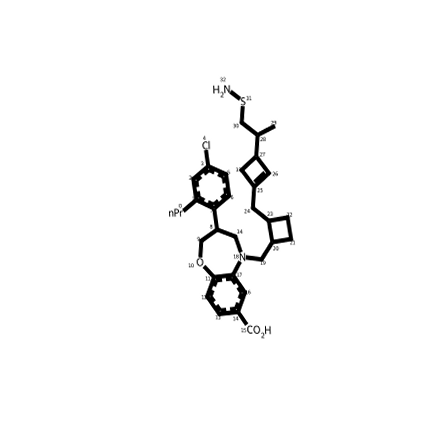 CCCc1cc(Cl)ccc1C1COc2ccc(C(=O)O)cc2N(CC2CCC2CC2=CC(C(C)CSN)C2)C1